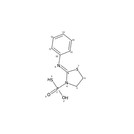 O=P(O)(S)N1CCSC1=Nc1ccccc1